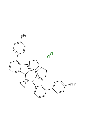 CCCc1ccc(-c2cccc3c2C=C(C2CCCC2)[CH]3[Ti+2]2([CH]3C(C4CCCC4)=Cc4c(-c5ccc(CCC)cc5)cccc43)[CH2][CH2]2)cc1.[Cl-].[Cl-]